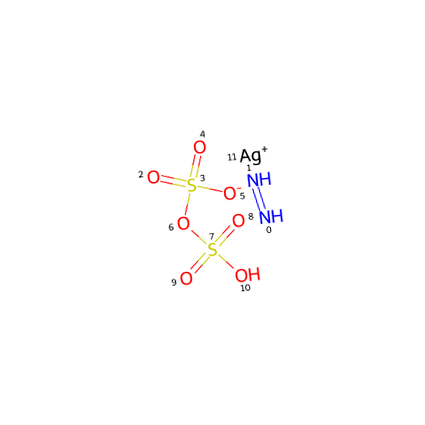 N=N.O=S(=O)([O-])OS(=O)(=O)O.[Ag+]